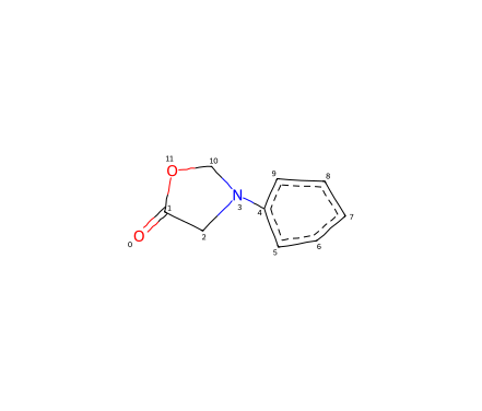 O=C1CN(c2ccccc2)CO1